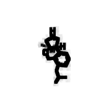 CC(C)Cc1cccc2c1CO[C@@]1(C)CNC[C@@H]21